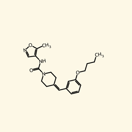 CCCCOc1cccc(C=C2CCN(C(=O)Nc3cnoc3C)CC2)c1